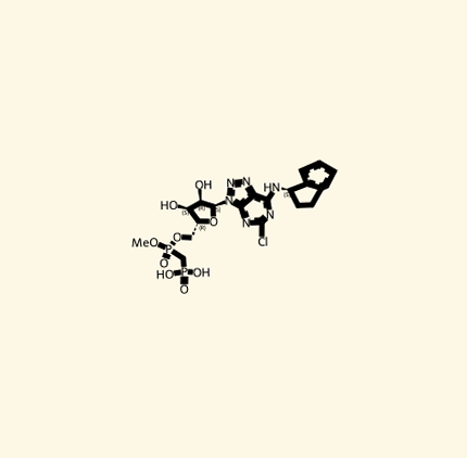 COP(=O)(CP(=O)(O)O)OC[C@H]1O[C@H](n2nnc3c(N[C@H]4CCc5ccccc54)nc(Cl)nc32)[C@H](O)[C@@H]1O